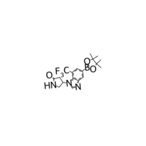 CC1(C)OB(c2cc(C(F)(F)F)c3c(c2)ncn3C2CNC(=O)C2)OC1(C)C